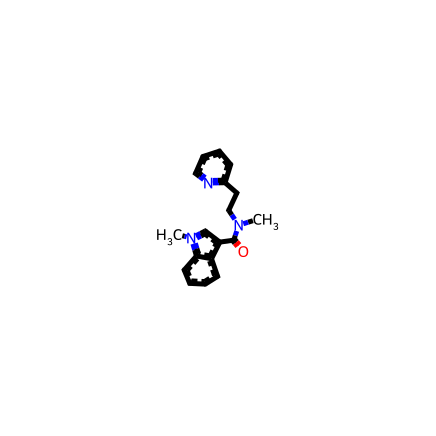 CN(CCc1ccccn1)C(=O)c1cn(C)c2ccccc12